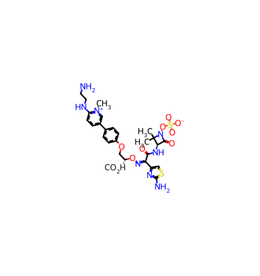 C[n+]1cc(-c2ccc(OC[C@H](O/N=C(\C(=O)N[C@@H]3C(=O)N(OS(=O)(=O)[O-])C3(C)C)c3csc(N)n3)C(=O)O)cc2)ccc1NCCN